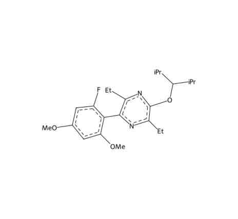 CCc1nc(-c2c(F)cc(OC)cc2OC)c(CC)nc1OC(C(C)C)C(C)C